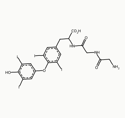 NCC(=O)NCC(=O)NC(Cc1cc(I)c(Oc2cc(I)c(O)c(I)c2)c(I)c1)C(=O)O